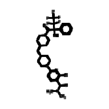 CN(C)C(=O)c1ccc(N2CCC(CC3CCN(C(=O)C(O)(c4ccccc4)C(F)(F)C(F)(F)F)CC3)CC2)nc1Cl